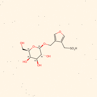 O=S(=O)(O)Cc1cocc1CO[C@@H]1O[C@H](CO)[C@H](O)[C@H](O)[C@H]1O